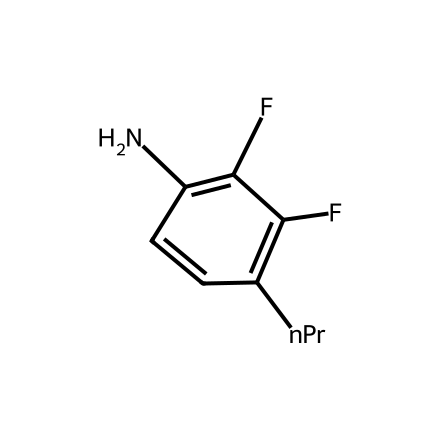 CCCc1ccc(N)c(F)c1F